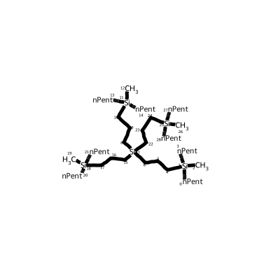 CCCCC[Si](C)(CCCCC)CCC[Si](CCC[Si](C)(CCCCC)CCCCC)(CCC[Si](C)(CCCCC)CCCCC)CCC[Si](C)(CCCCC)CCCCC